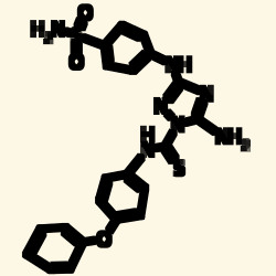 Nc1nc(Nc2ccc(S(N)(=O)=O)cc2)nn1C(=S)Nc1ccc(Oc2ccccc2)cc1